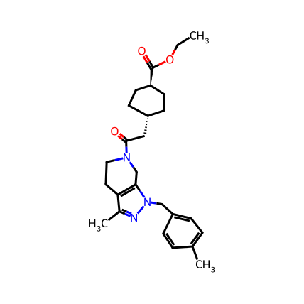 CCOC(=O)[C@H]1CC[C@H](CC(=O)N2CCc3c(C)nn(Cc4ccc(C)cc4)c3C2)CC1